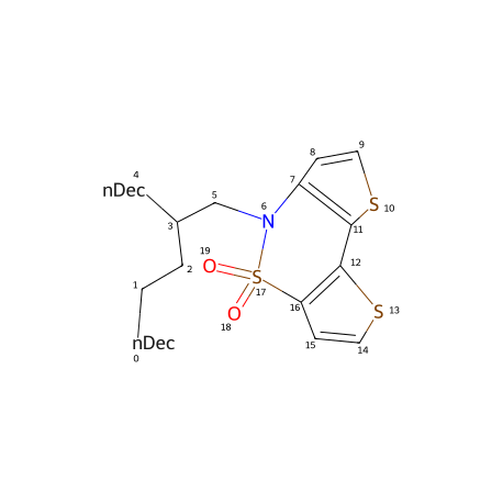 CCCCCCCCCCCCC(CCCCCCCCCC)CN1c2ccsc2-c2sccc2S1(=O)=O